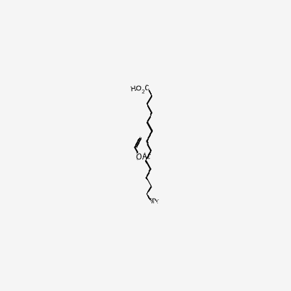 C=COC(C)=O.CC(C)CCCCCCCCCCCCC(=O)O